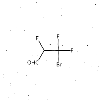 O=CC(F)C(F)(F)Br